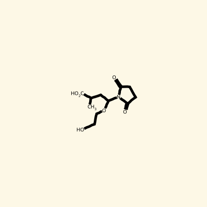 CC(CC(OCCO)N1C(=O)CCC1=O)C(=O)O